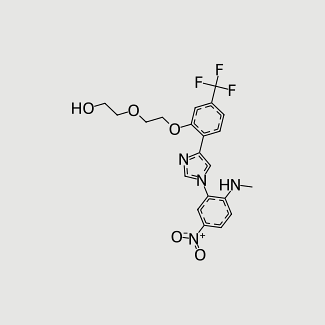 CNc1ccc([N+](=O)[O-])cc1-n1cnc(-c2ccc(C(F)(F)F)cc2OCCOCCO)c1